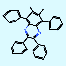 Cc1c(C)c(-c2ccccc2)c2nc(-c3ccccc3)c(-c3ccccc3)nc2c1-c1ccccc1